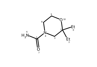 CCC1(CC)CN(C(N)=O)CCO1